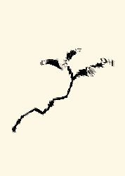 CCCCCC(OO)[SH](=O)=O